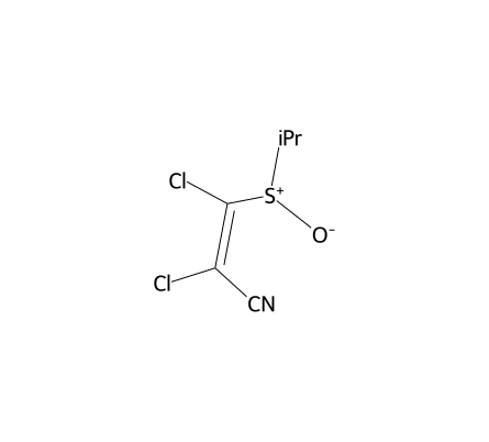 CC(C)[S+]([O-])/C(Cl)=C(/Cl)C#N